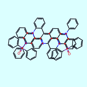 O=P(c1ccccc1)(c1ccccc1)c1cccc(-c2cc(-c3ccccc3N3c4ccccc4N(c4ccccc4)c4ccccc43)c(-c3cccc(P(=O)(c4ccccc4)c4ccccc4)c3)nc2-c2ccccc2N2c3ccccc3N(c3ccccc3)c3ccccc32)c1